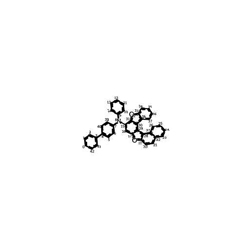 c1ccc(-c2ccc(N(c3ccccc3)c3cc4oc5ccc6ccccc6c5c4c4c3oc3ccccc34)cc2)cc1